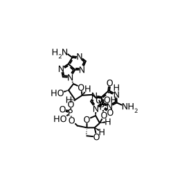 Nc1nc2c(ncn2[C@@H]2O[C@@]34CO[C@H]3[C@H]2OP(=O)(O)OC[C@H]2O[C@@H](n3cnc5c(N)ncnc53)[C@H](O)[C@@H]2OP(=O)(O)OC4)c(=O)[nH]1